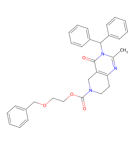 Cc1nc2c(c(=O)n1C(c1ccccc1)c1ccccc1)CN(C(=O)OCCOCc1ccccc1)CC2